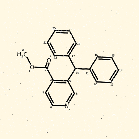 COC(=O)c1ccncc1C(c1ccccc1)c1ccccc1